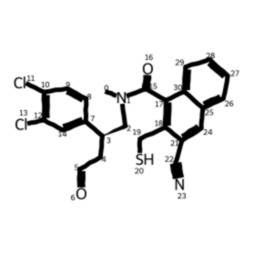 CN(C[C@@H](CC=O)c1ccc(Cl)c(Cl)c1)C(=O)c1c(CS)c(C#N)cc2ccccc12